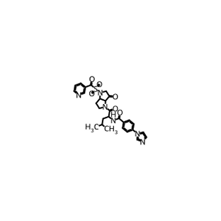 CC(C)CC(NC(=O)c1ccc(-n2ccnc2)cc1)C(=O)N1CCC2C1C(=O)CN2S(=O)(=O)C(=O)c1cccnc1